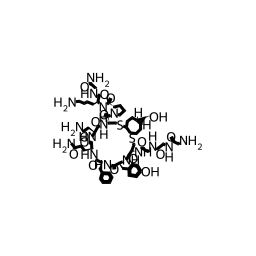 NCCCC[C@H](NC(=O)[C@@H]1CCCN1C(=O)[C@@H]1CSC2CC[C@H]3[C@H](CO)[C@H]3CCC2SC[C@H](NC(=O)CNC(=O)CNC(=O)CN)C(=O)N[C@@H](Cc2ccc(O)cc2)C(=O)N[C@@H](Cc2ccccc2)C(=O)N[C@@H](CCC(N)=O)C(=O)N[C@@H](CC(N)=O)C(=O)N1)C(=O)NCC(N)=O